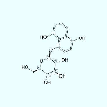 OC[C@H]1O[C@@H](Oc2ccc(O)c3cccc(O)c23)[C@H](O)[C@@H](O)[C@@H]1O